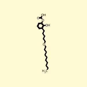 CCCCCCCCCCOCCCCCc1cccc(OC(=O)O)c1O